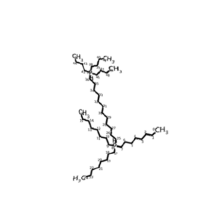 CCCCCCCC[PH](CCCCCCCC)(CCCCCCCC)CCCCCCCCCCCC[PH](CCCC)(CCCC)CCCC